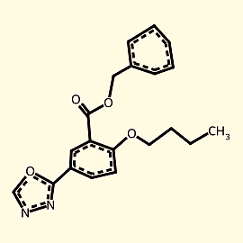 CCCCOc1ccc(-c2nnco2)cc1C(=O)OCc1ccccc1